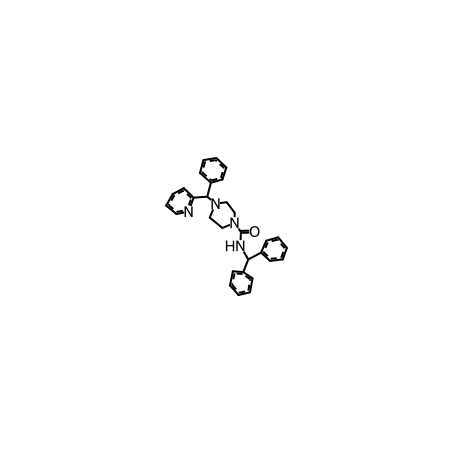 O=C(NC(c1ccccc1)c1ccccc1)N1CCN(C(c2ccccc2)c2ccccn2)CC1